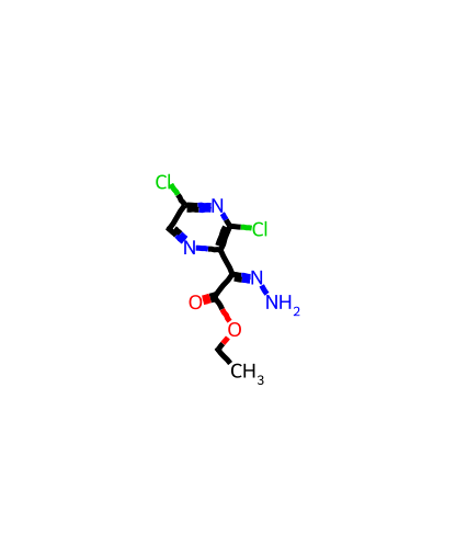 CCOC(=O)C(=NN)c1ncc(Cl)nc1Cl